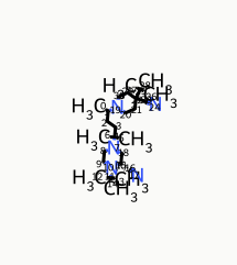 CC(CCC(C)(C)N1CCN(C(C)(C)C)[C@@H](C#N)C1)N1CCC(C#N)(C(C)(C)C)CC1